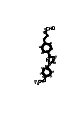 O=COCCc1ccc(-c2ncn(-c3ccc(OC(F)(F)F)cc3)n2)cc1